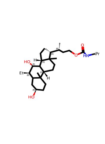 CC[C@@H]1C2C[C@H](O)CCC2(C)[C@H]2CCC3(C)[C@@H]([C@H](C)CCOC(=O)NC(C)C)CC[C@H]3C2[C@@H]1O